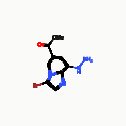 COC(=O)c1cc(NN)c2ncc(Br)n2c1